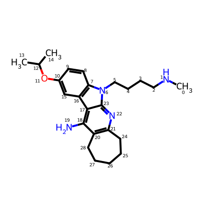 CNCCCCn1c2ccc(OC(C)C)cc2c2c(N)c3c(nc21)CCCCC3